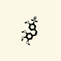 COc1ccc(/C=C\c2cc(OC)c(OC)c(OC)c2)cc1[SH](C)(C)=O